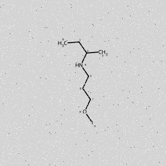 CCC(C)NCCCOI